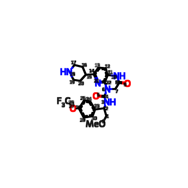 COCC(NC(=O)N1CC(=O)Nc2ccc(C3CCNCC3)nc21)c1ccc(OC(F)(F)F)cc1